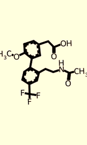 COc1ccc(CC(=O)O)cc1-c1ccc(C(F)(F)F)cc1CCNC(C)=O